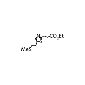 CCOC(=O)CCc1ncc(CCSC)s1